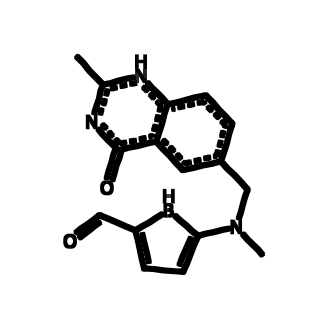 Cc1nc(=O)c2cc(CN(C)C3=CC=C(C=O)B3)ccc2[nH]1